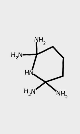 NC1(N)CCCC(N)(N)N1